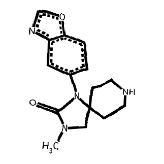 CN1CC2(CCNCC2)N(c2ccc3ocnc3c2)C1=O